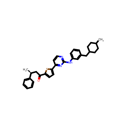 CC1CCC(Cc2cccc(Nc3nccc(-c4ccc(C(=O)C[C@H](C)c5ccccc5)s4)n3)c2)CC1